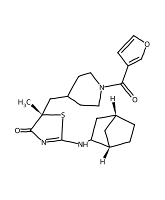 C[C@@]1(CC2CCN(C(=O)c3ccoc3)CC2)SC(NC2C[C@@H]3CC[C@H]2C3)=NC1=O